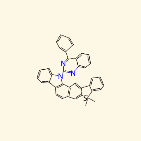 C[Si]1(C)c2ccccc2-c2cc3c(ccc4c5ccccc5n(-c5nc(-c6ccccc6)c6ccccc6n5)c34)cc21